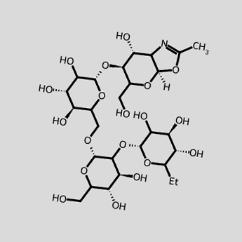 CCC1O[C@H](OC2[C@@H](OCC3O[C@@H](O[C@@H]4C(CO)O[C@@H]5OC(C)=NC5[C@H]4O)C(O)[C@@H](O)[C@@H]3O)OC(CO)[C@@H](O)[C@@H]2O)C(O)[C@@H](O)[C@@H]1O